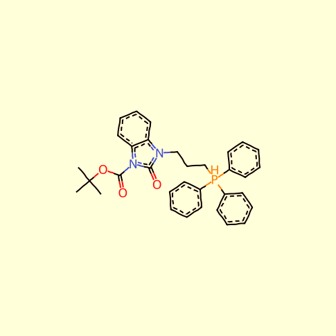 CC(C)(C)OC(=O)n1c(=O)n(CCC[PH](c2ccccc2)(c2ccccc2)c2ccccc2)c2ccccc21